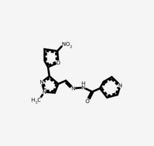 Cn1cc(C=NNC(=O)c2ccncc2)c(-c2ccc([N+](=O)[O-])o2)n1